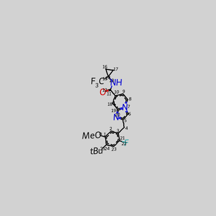 COc1cc(Cc2cn3ccc(C(=O)NC4(C(F)(F)F)CC4)cc3n2)c(F)cc1C(C)(C)C